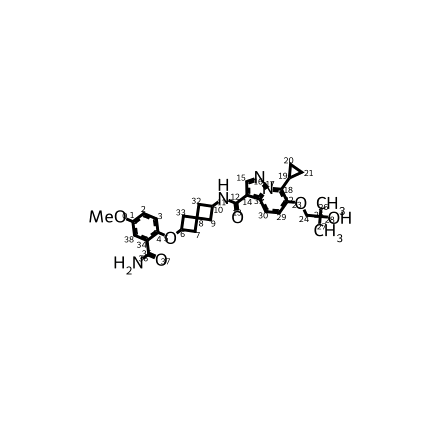 COc1ccc(OC2CC3(CC(NC(=O)c4cnn5c(C6CC6)c(OCC(C)(C)O)ccc45)C3)C2)c(C(N)=O)c1